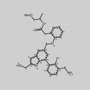 COCC(C)OC(=O)Cc1ccccc1OCc1cc(-c2cccc(CN)c2F)c2oc(CO)cc2c1